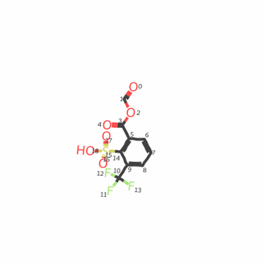 O=COC(=O)c1cccc(C(F)(F)F)c1S(=O)(=O)O